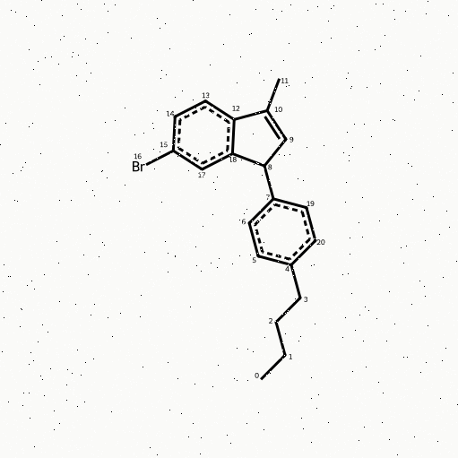 CCCCc1ccc(C2C=C(C)c3ccc(Br)cc32)cc1